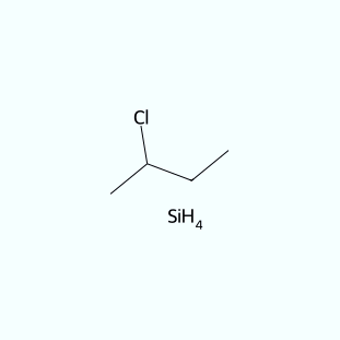 CCC(C)Cl.[SiH4]